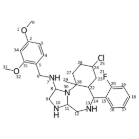 COc1ccc(CNC2CNC3CNC(c4ccccc4F)C4CC(Cl)CCC4(C)N32)c(OC)c1